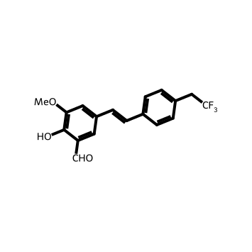 COc1cc(/C=C/c2ccc(CC(F)(F)F)cc2)cc(C=O)c1O